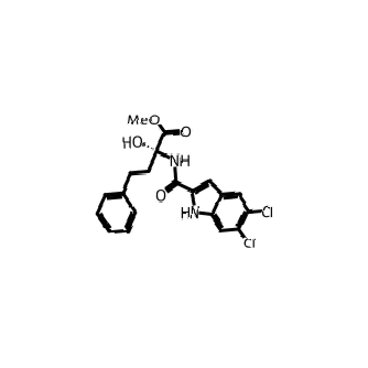 COC(=O)[C@](O)(CCc1ccccc1)NC(=O)c1cc2cc(Cl)c(Cl)cc2[nH]1